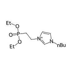 CCCCn1cc[n+](CCP(=O)(OCC)OCC)c1